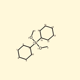 CO[Si](OC)(C1CCCCC1)C1CCCCC1